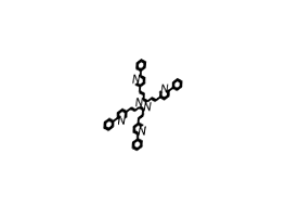 C(=Cc1nc(C=Cc2ccc(-c3ccccc3)nc2)c(C=Cc2ccc(-c3ccccc3)nc2)nc1C=Cc1ccc(-c2ccccc2)nc1)c1ccc(-c2ccccc2)nc1